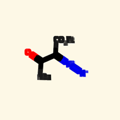 CCCCC(=O)C(=[N+]=[N-])C(=O)OCC